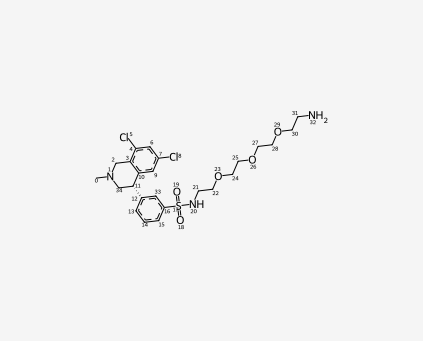 CN1Cc2c(Cl)cc(Cl)cc2[C@H](c2cccc(S(=O)(=O)NCCOCCOCCOCCN)c2)C1